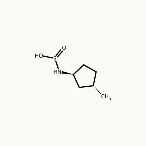 C[C@H]1CC[C@H](NS(=O)O)C1